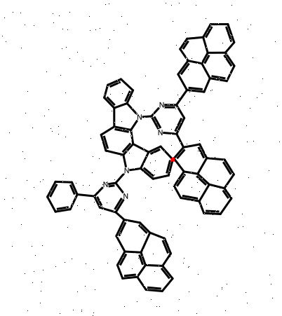 c1ccc(-c2cc(-c3cc4ccc5cccc6ccc(c3)c4c56)nc(-n3c4ccccc4c4c3ccc3c5ccccc5n(-c5nc(-c6cc7ccc8cccc9ccc(c6)c7c89)cc(-c6cc7ccc8cccc9ccc(c6)c7c89)n5)c34)n2)cc1